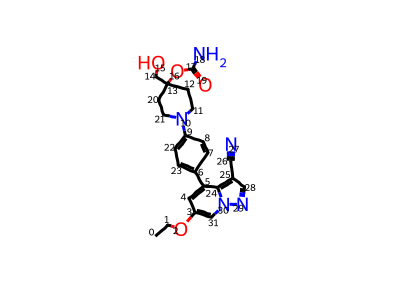 CCOc1cc(-c2ccc(N3CCC(CO)(OC(N)=O)CC3)cc2)c2c(C#N)cnn2c1